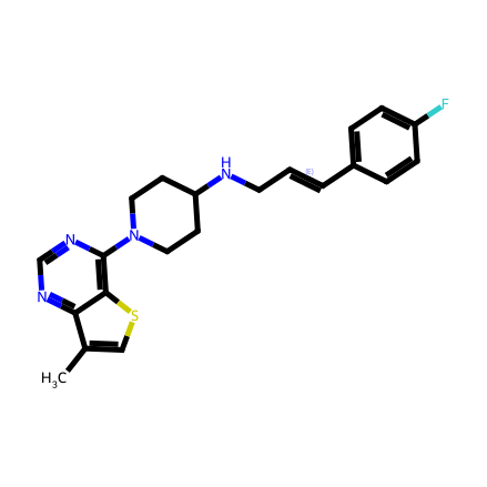 Cc1csc2c(N3CCC(NC/C=C/c4ccc(F)cc4)CC3)ncnc12